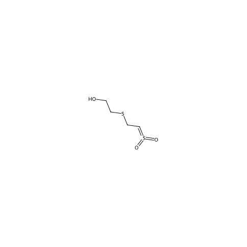 O=S(=O)=CCSCCO